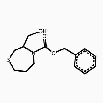 O=C(OCc1ccccc1)N1CCCSCC1CO